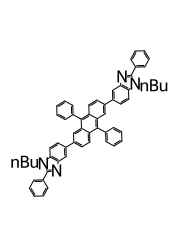 CCCCn1c(-c2ccccc2)nc2cc(-c3ccc4c(-c5ccccc5)c5cc(-c6ccc7c(c6)nc(-c6ccccc6)n7CCCC)ccc5c(-c5ccccc5)c4c3)ccc21